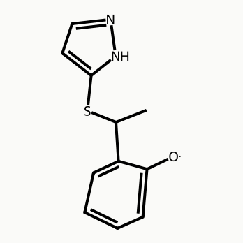 CC(Sc1ccn[nH]1)c1ccccc1[O]